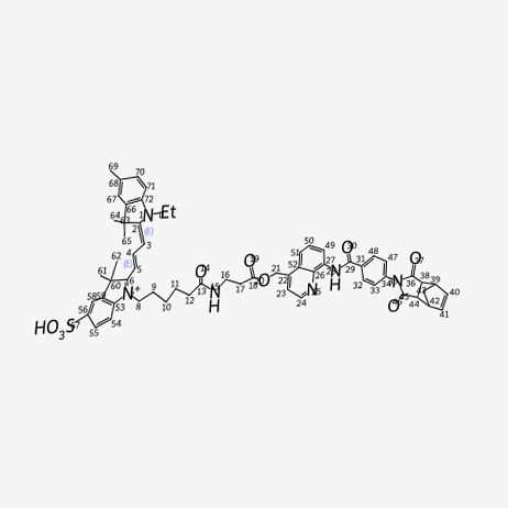 CCN1/C(=C/C=C/C2=[N+](CCCCCC(=O)NCCC(=O)OCc3ccnc4c(NC(=O)c5ccc(N6C(=O)C7C8C=CC(C8)C7C6=O)cc5)cccc34)c3ccc(S(=O)(=O)O)cc3C2(C)C)C(C)(C)c2cc(C)ccc21